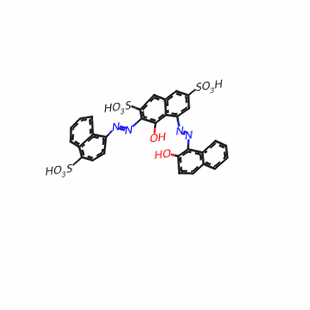 O=S(=O)(O)c1cc(N=Nc2c(O)ccc3ccccc23)c2c(O)c(N=Nc3ccc(S(=O)(=O)O)c4ccccc34)c(S(=O)(=O)O)cc2c1